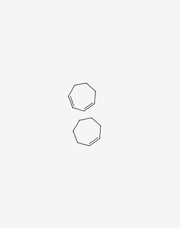 C1=CCCCC=C1.C1=CCCCCC1